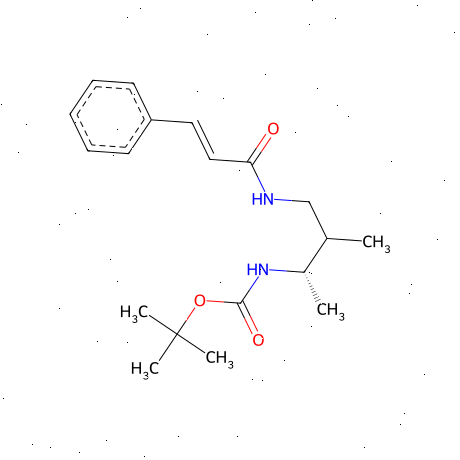 CC(CNC(=O)/C=C/c1ccccc1)[C@H](C)NC(=O)OC(C)(C)C